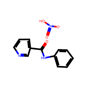 O=C(Nc1ccccc1)c1cccnc1.O=[N+]([O-])O